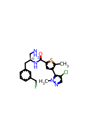 Cc1sc(C(=O)N[C@H](CN)Cc2cccc(CF)c2)cc1-c1c(Cl)cnn1C